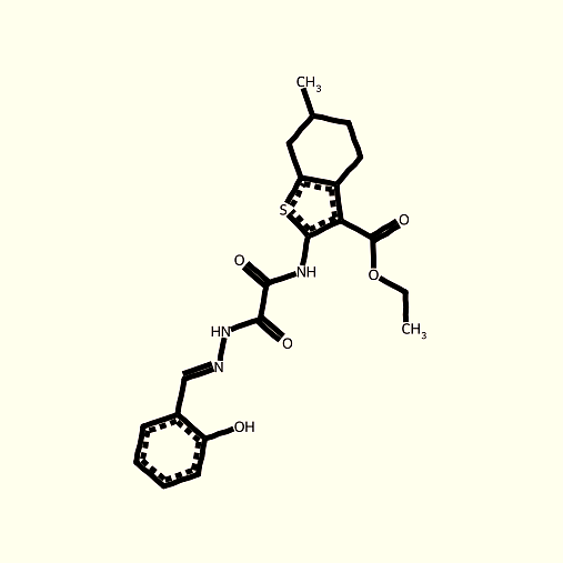 CCOC(=O)c1c(NC(=O)C(=O)N/N=C/c2ccccc2O)sc2c1CCC(C)C2